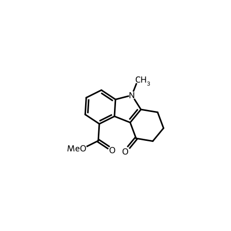 COC(=O)c1cccc2c1c1c(n2C)CCCC1=O